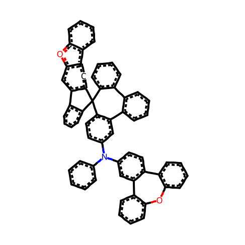 c1ccc(N(c2ccc3c(c2)-c2ccccc2Oc2ccccc2-3)c2ccc3c(c2)-c2ccccc2-c2ccccc2C32c3ccccc3-c3cc4oc5ccccc5c4cc32)cc1